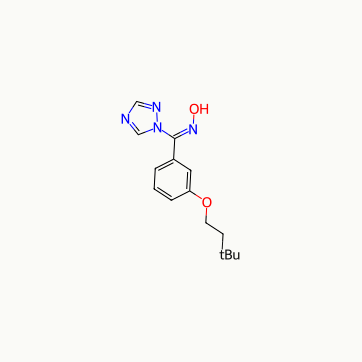 CC(C)(C)CCOc1cccc(C(=NO)n2cncn2)c1